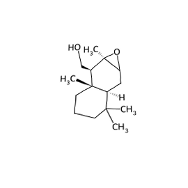 CC1(C)CCC[C@]2(C)[C@@H](CO)[C@@]3(C)OC3C[C@@H]12